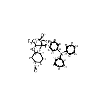 O=S(=O)([O-])C(F)(F)C(OC1CCCCC1)C(F)(F)F.[C]=O.c1ccc([S+](c2ccccc2)c2ccccc2)cc1